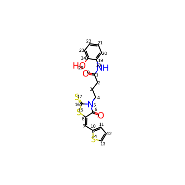 O=C(CCCN1C(=O)/C(=C\c2cccs2)SC1=S)Nc1ccccc1O